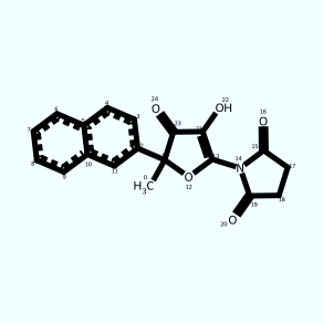 CC1(c2ccc3ccccc3c2)OC(N2C(=O)CCC2=O)=C(O)C1=O